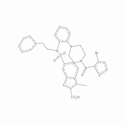 CCOC(=O)c1sc2cc(S(=O)(=O)N(CCc3ccccc3)c3ccccc3N3CCN(C(=O)c4sccc4Br)CC3)ccc2c1C